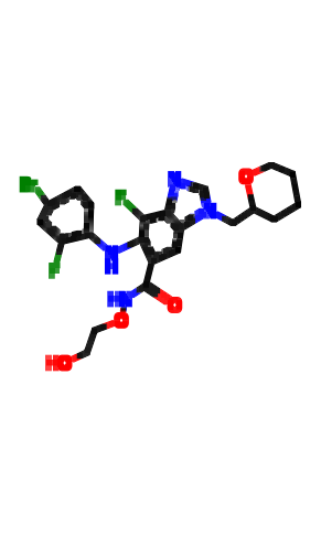 O=C(NOCCO)c1cc2c(ncn2CC2CCCCO2)c(F)c1Nc1ccc(Br)cc1F